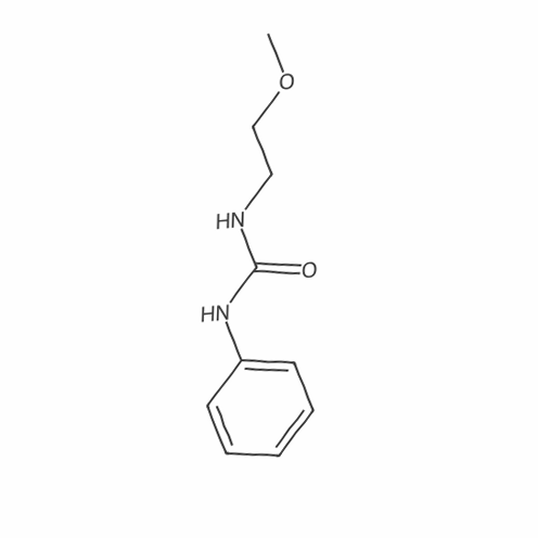 COCCNC(=O)Nc1ccccc1